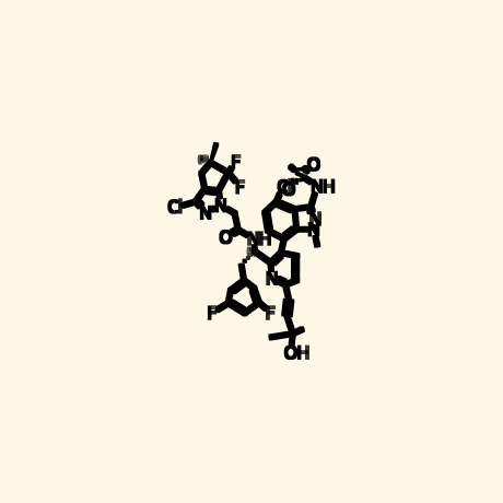 C[C@@H]1Cc2c(Cl)nn(CC(=O)N[C@@H](Cc3cc(F)cc(F)c3)c3nc(C#CC(C)(C)O)ccc3-c3ccc(Cl)c4c(NS(C)(=O)=O)nn(C)c34)c2C1(F)F